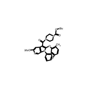 COc1cc2c(C(=O)N3CCN(C(=O)OC(C)(C)C)CC3)c(Oc3cc(F)ccc3C)n(-c3ccccc3)c2cn1